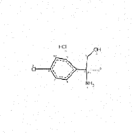 C[C@@](N)(CO)c1ccc(Cl)cc1.Cl